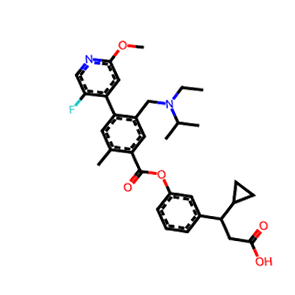 CCN(Cc1cc(C(=O)Oc2cccc(C(CC(=O)O)C3CC3)c2)c(C)cc1-c1cc(OC)ncc1F)C(C)C